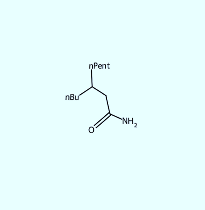 CCCCCC(CCCC)CC(N)=O